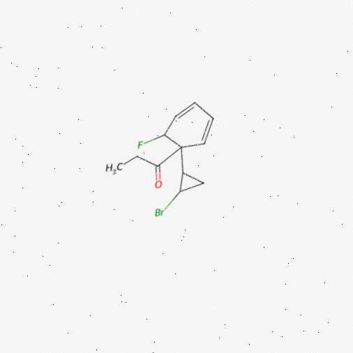 CCC(=O)C1(C2CC2Br)C=CC=CC1F